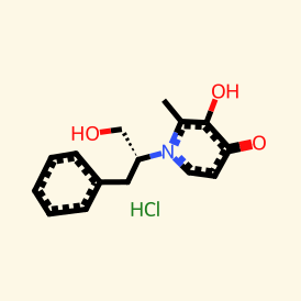 Cc1c(O)c(=O)ccn1[C@@H](CO)Cc1ccccc1.Cl